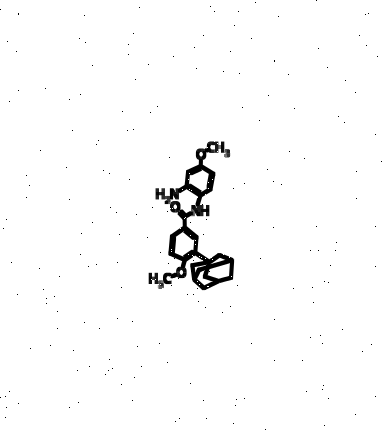 COc1ccc(NC(=O)c2ccc(OC)c(C34CC5CC(CC(C5)C3)C4)c2)c(N)c1